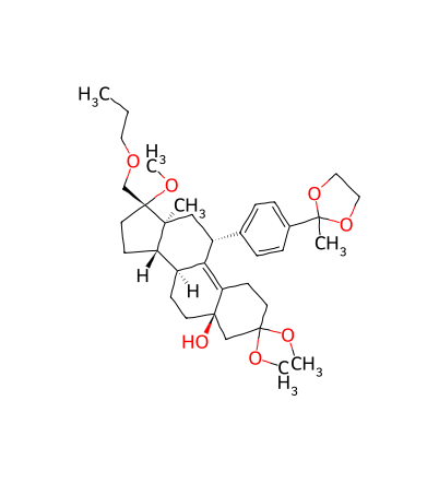 CCCOC[C@]1(OC)CC[C@H]2[C@@H]3CC[C@@]4(O)CC(OC)(OC)CCC4=C3[C@@H](c3ccc(C4(C)OCCO4)cc3)C[C@@]21C